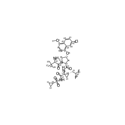 COc1cnc(O[C@@H]2C[C@@H](C(=O)N[C@]3(C(=O)NS(=O)(=O)C4CC4)C[C@H]3CC(F)F)N(C(=O)C(N)C(C)(C)C)C2)c2cc(Cl)ccc12